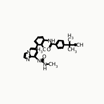 C#CC(C)(C)c1ccc(C(=O)Nc2cccc(-c3cc(NC(=O)NC)c4nccn4c3)c2C)cc1